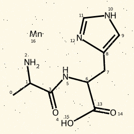 CC(N)C(=O)NC(Cc1c[nH]cn1)C(=O)O.[Mn]